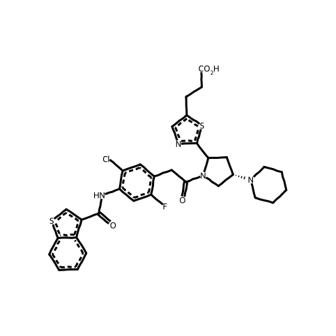 O=C(O)CCc1cnc(C2C[C@H](N3CCCCC3)CN2C(=O)Cc2cc(Cl)c(NC(=O)c3csc4ccccc34)cc2F)s1